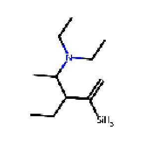 C=C([SiH3])C(CC)C(C)N(CC)CC